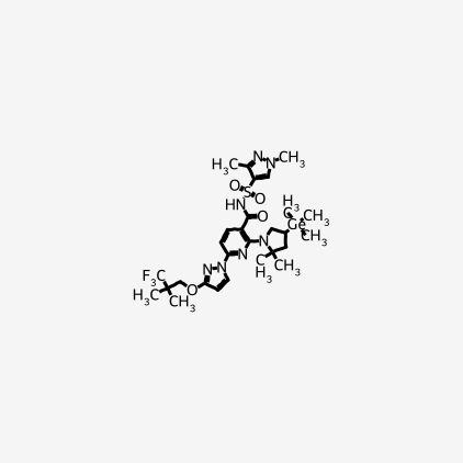 Cc1nn(C)cc1S(=O)(=O)NC(=O)c1ccc(-n2ccc(OCC(C)(C)C(F)(F)F)n2)nc1N1C[CH]([Ge]([CH3])([CH3])[CH3])CC1(C)C